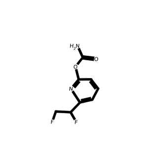 NC(=O)Oc1cccc(C(F)CF)n1